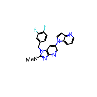 CNc1nc2ncc(-n3ccc4ncccc43)cc2n1Cc1ccc(F)c(F)c1